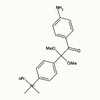 CCC[N+](C)(C)c1ccc(C(OC)(OC)C(=O)c2ccc(N)cc2)cc1